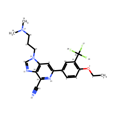 CCOc1ccc(-c2cc3c(ncn3CCCN(C)C)c(C#N)n2)cc1C(F)(F)F